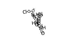 CC1(C)CCC(CN2CCN(c3ccc(C(=O)NS(=O)(=O)c4ccc(NCC5CCOCC5)c(I)c4)c(Oc4cnc5[nH]ccc5c4)c3)CC2)=C(c2ccc(Cl)cc2)C1